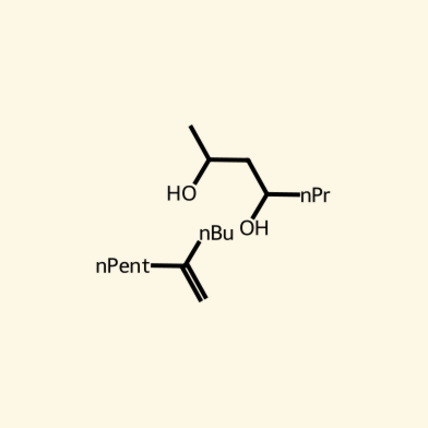 C=C(CCCC)CCCCC.CCCC(O)CC(C)O